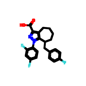 O=C(O)c1nn(-c2ccc(F)cc2F)c2c1CCCCC2Cc1ccc(F)cc1